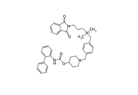 C[N+](C)(CCCN1C(=O)c2ccccc2C1=O)Cc1ccc(CN2CCC(OC(=O)Nc3ccccc3-c3ccccc3)CC2)cc1